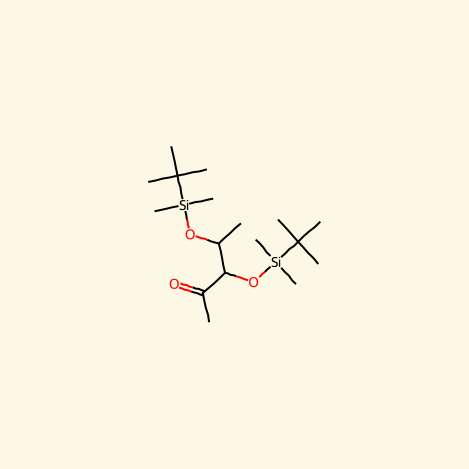 CC(=O)C(O[Si](C)(C)C(C)(C)C)C(C)O[Si](C)(C)C(C)(C)C